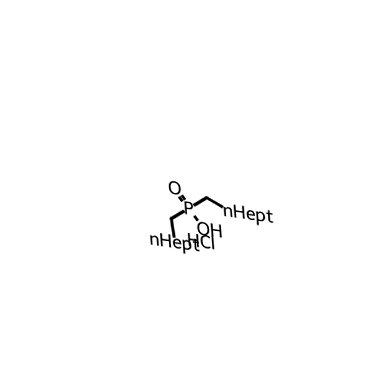 CCCCCCCCP(=O)(O)CCCCCCCC.Cl